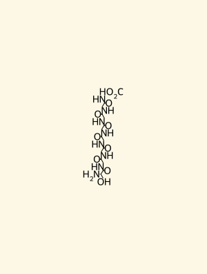 N[C@@H](CO)C(=O)NCC(=O)NCC(=O)NCC(=O)NCC(=O)NCC(=O)NCC(=O)NCC(=O)O